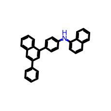 c1ccc(-c2cc(-c3ccc(Nc4cccc5ccccc45)cc3)c3ccccc3c2)cc1